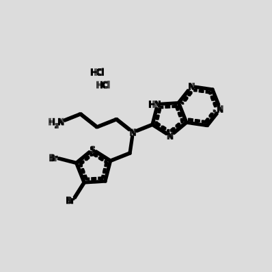 Cl.Cl.NCCCN(Cc1cc(Br)c(Br)s1)c1nc2cncnc2[nH]1